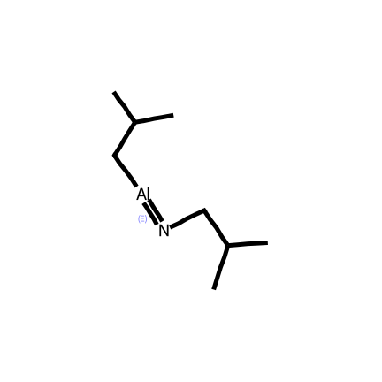 CC(C)C/[N]=[Al]/[CH2]C(C)C